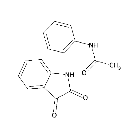 CC(=O)Nc1ccccc1.O=C1Nc2ccccc2C1=O